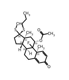 CCCS[C@]1(SC)CC[C@H]2[C@@H]3CCC4=CC(=O)C=C[C@]4(C)C3(F)[C@@H](OC(C)=O)C[C@@]21C